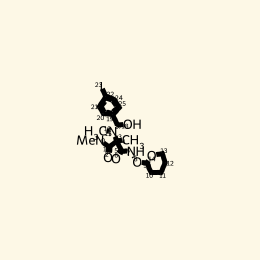 CNC(=O)C(C)(C(=O)NOC1CCCCO1)N(C)C(O)c1ccc(I)cc1